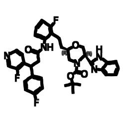 CC(C)(C)OC(=O)N1C[C@@H](CCc2c(F)cccc2NC(=O)CC(c2ccc(F)cc2)c2ccncc2F)OC[C@H]1c1nc2ccccc2[nH]1